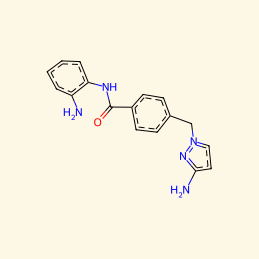 Nc1ccn(Cc2ccc(C(=O)Nc3ccccc3N)cc2)n1